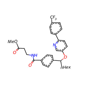 CCCCCCC(Oc1ccc(-c2ccc(C(F)(F)F)cc2)nc1)c1ccc(C(=O)NCCC(=O)OC)cc1